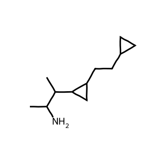 CC(N)C(C)C1CC1CCC1CC1